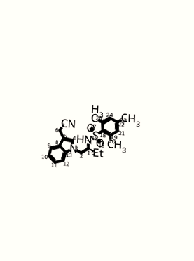 CC[C@@H](Cn1cc(CC#N)c2ccccc21)NS(=O)(=O)c1c(C)cc(C)cc1C